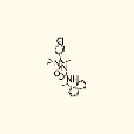 Cc1c(-c2ccc(Cl)cc2)n(C2CC2)c(=O)n1CC(=O)N[C@H](C)c1cccc2ccccc12